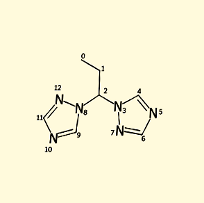 CCC(n1cncn1)n1cncn1